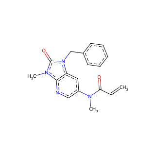 C=CC(=O)N(C)c1cnc2c(c1)n(Cc1ccccc1)c(=O)n2C